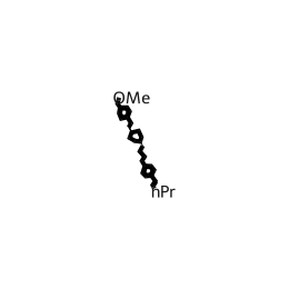 CCCC=Cc1ccc(CCCC[C@H]2CC[C@H](CCc3ccc(COC)cc3)CC2)cc1